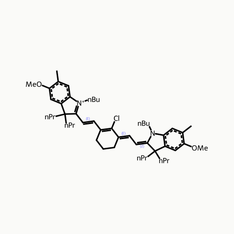 CCCCN1/C(=C\C=C2/CCCC(/C=C/C3=[N+](CCCC)c4cc(C)c(OC)cc4C3(CCC)CCC)=C2Cl)C(CCC)(CCC)c2cc(OC)c(C)cc21